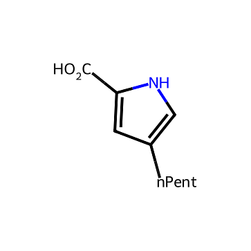 CCCCCc1c[nH]c(C(=O)O)c1